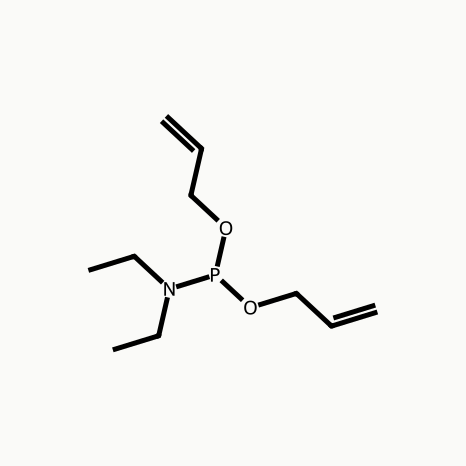 C=CCOP(OCC=C)N(CC)CC